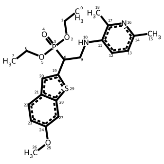 CCOP(=O)(OCC)C(CNc1ccc(C)nc1C)c1cc2ccc(OC)cc2s1